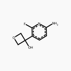 Nc1ccc(C2(O)COC2)c(F)n1